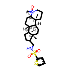 C[C@]12CCC[N+](C)([O-])[C@@H]1CC[C@@H]1[C@@H]2CC[C@]2(C)C(CNS(=O)(=O)c3cccs3)CC[C@@H]12